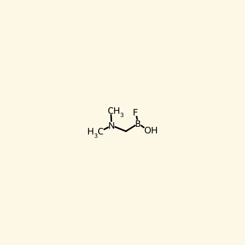 CN(C)CB(O)F